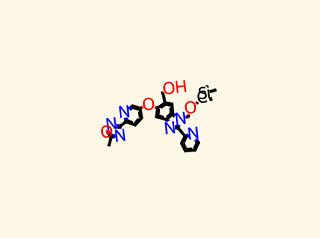 Cc1nc(-c2ccc(Oc3cc4nc(-c5ccccn5)n(COCC[Si](C)(C)C)c4cc3CO)cn2)no1